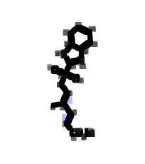 CCOC(=O)/C=C/C(C)=C/CS(=O)(=O)c1nc2ccccc2s1